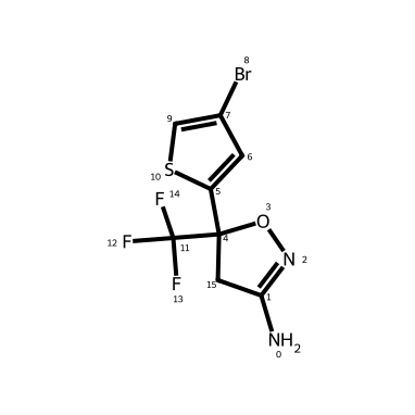 NC1=NOC(c2cc(Br)cs2)(C(F)(F)F)C1